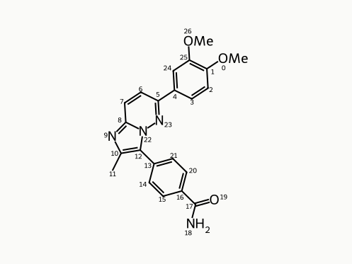 COc1ccc(-c2ccc3nc(C)c(-c4ccc(C(N)=O)cc4)n3n2)cc1OC